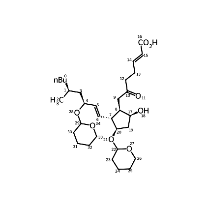 CCCC[C@H](C)C[C@@H](C=C[C@@H]1[C@@H](CC(=O)CCC=CC(=O)O)[C@@H](O)C[C@H]1OC1CCCCO1)OC1CCCCO1